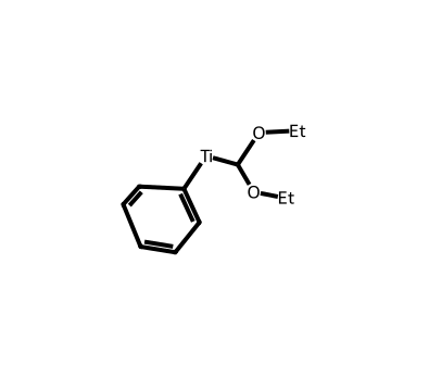 CCO[CH](OCC)[Ti][c]1ccccc1